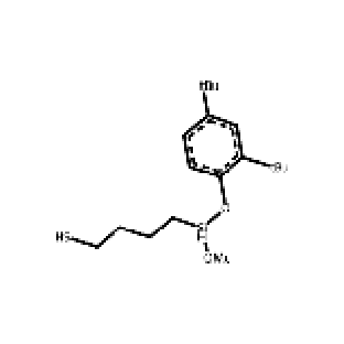 CO[SiH](CCCCS)Oc1ccc(C(C)(C)C)cc1C(C)(C)C